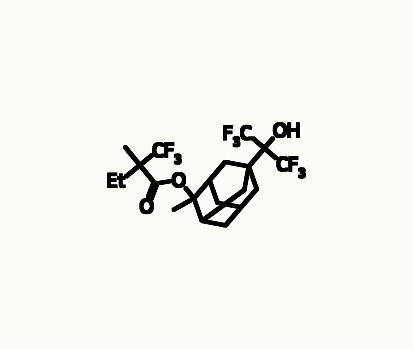 CCC(C)(C(=O)OC1(C)C2CC3CC1CC(C(O)(C(F)(F)F)C(F)(F)F)(C3)C2)C(F)(F)F